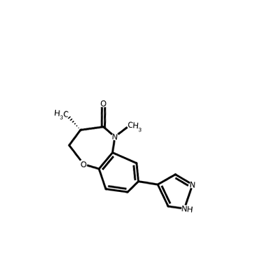 C[C@H]1COc2ccc(-c3cn[nH]c3)cc2N(C)C1=O